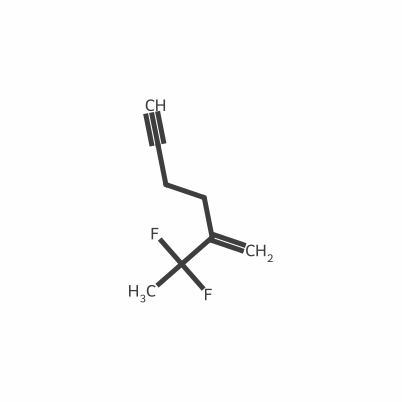 C#CCCC(=C)C(C)(F)F